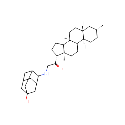 C[C@H]1CC[C@@H]2C3CC[C@@]4(C)C(CC[C@@H]4C(=O)CNC4C5CC6CC4CC(O)(C6)C5)[C@@H]3CC[C@@H]2C1